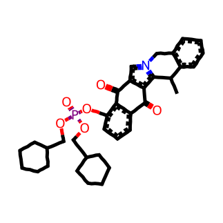 CC1c2ccccc2Cn2cc3c(c21)C(=O)c1cccc(OP(=O)(OCC2CCCCC2)OCC2CCCCC2)c1C3=O